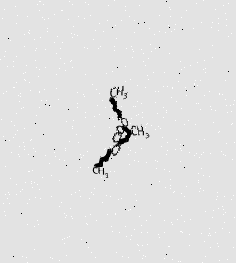 CCCCCCOC(=O)CC(C)C(=O)OCCCCCC